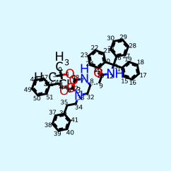 CC(C)(C)OC(=O)N[C@H](CC(=O)NC(c1ccccc1)(c1ccccc1)c1ccccc1)CN(CCc1ccccc1)C(=O)OCc1ccccc1